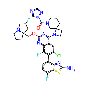 Nc1nc2c(-c3c(Cl)cc4c(N5CCC56CCCN(C(=O)n5cncn5)C6)nc(OCC56CCCN5CC(F)C6)nc4c3F)ccc(F)c2s1